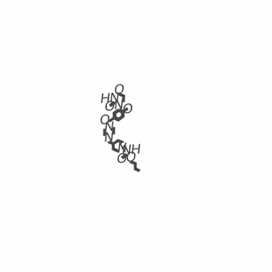 CCCCOC(=O)NN1CCC(CN2CCN(C(=O)c3ccc(OC)c(N4CCC(=O)NC4=O)c3)CC2)CC1